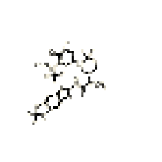 C[C@@H](C(=O)Nc1nc2cc3c(cc2s1)OC(F)(F)O3)N1CCC(F)(F)[C@@H](c2c[nH]c(=O)c([C@@H](N)C(F)(F)F)c2)C1